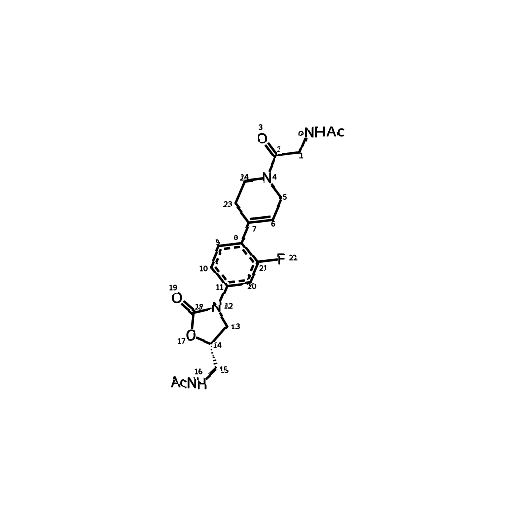 CC(=O)NCC(=O)N1CC=C(c2ccc(N3C[C@H](CNC(C)=O)OC3=O)cc2F)CC1